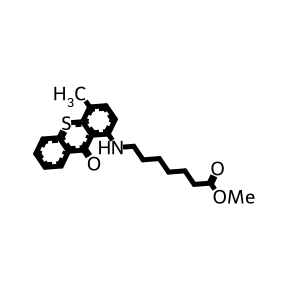 COC(=O)CCCCCCNc1ccc(C)c2sc3ccccc3c(=O)c12